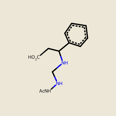 CC(=O)NNCNC(CC(=O)O)c1ccccc1